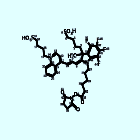 CC1(CCCCS(=O)(=O)O)C(=CC=Cc2cc[n+](CCCCS(=O)(=O)O)c3ccccc23)N(CCCCCC(=O)ON2C(=O)CCC2=O)c2c(F)c(F)c(F)c(F)c21